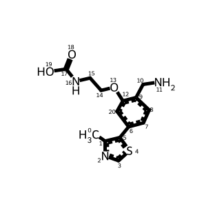 Cc1ncsc1-c1ccc(CN)c(OCCNC(=O)O)c1